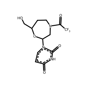 O=C(N1CCC(CO)OC(n2ccc(=O)[nH]c2=O)C1)C(F)(F)F